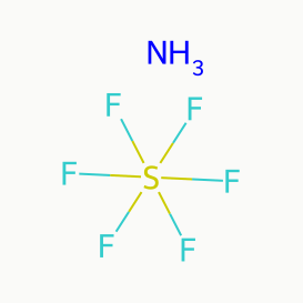 FS(F)(F)(F)(F)F.N